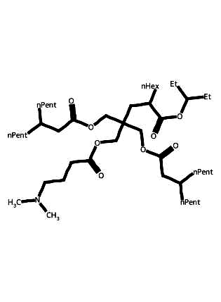 CCCCCCC(CC(COC(=O)CCCN(C)C)(COC(=O)CC(CCCCC)CCCCC)COC(=O)CC(CCCCC)CCCCC)C(=O)OC(CC)CC